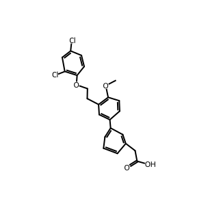 COc1ccc(-c2cccc(CC(=O)O)c2)cc1CCOc1ccc(Cl)cc1Cl